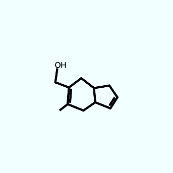 CC1=C(CO)CC2CC=CC2C1